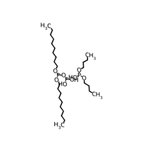 CCCCCCCCCCOP(OCCCCCCCCCC)OP(O)O.CCCCOP(O)OCCCC